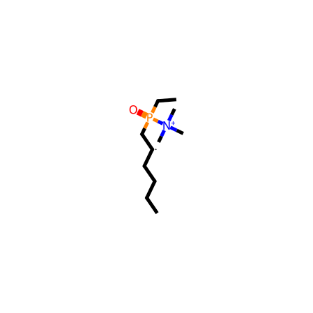 CCCC[CH]CP(=O)(CC)[N+](C)(C)C